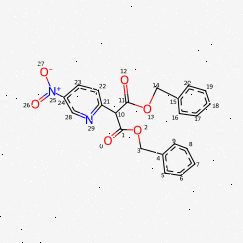 O=C(OCc1ccccc1)C(C(=O)OCc1ccccc1)c1ccc([N+](=O)[O-])cn1